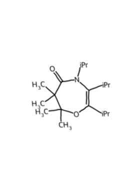 CC(C)C1=C(C(C)C)N(C(C)C)C(=O)C(C)(C)C(C)(C)O1